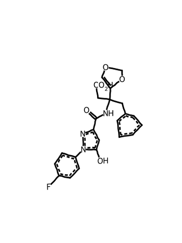 O=C(O)CC(Cc1ccccc1)(NC(=O)c1cc(O)n(-c2ccc(F)cc2)n1)C1=COCO1